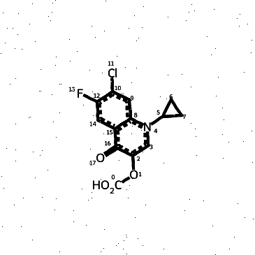 O=C(O)Oc1cn(C2CC2)c2cc(Cl)c(F)cc2c1=O